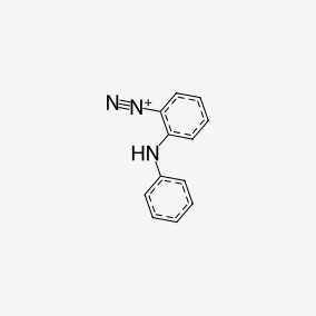 N#[N+]c1ccccc1Nc1ccccc1